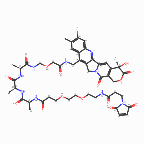 CC[C@@]1(O)C(=O)OCc2c1cc1n(c2=O)Cc2c-1nc1cc(F)c(C)cc1c2CNC(=O)COCNC(=O)[C@H](C)NC(=O)[C@H](C)NC(=O)[C@H](C)NC(=O)CCOCCOCCNC(=O)CCN1C(=O)C=CC1=O